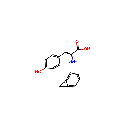 CN[C@@H](Cc1ccc(O)cc1)C(=O)O.c1ccc2c(c1)C2